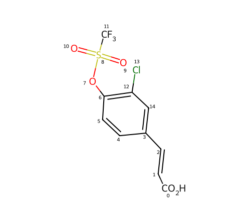 O=C(O)/C=C/c1ccc(OS(=O)(=O)C(F)(F)F)c(Cl)c1